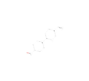 C=CC1CCC(C2CCC(C=O)CC2)CC1